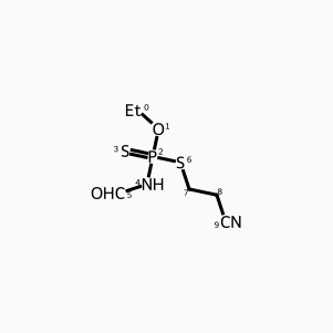 CCOP(=S)(NC=O)SCCC#N